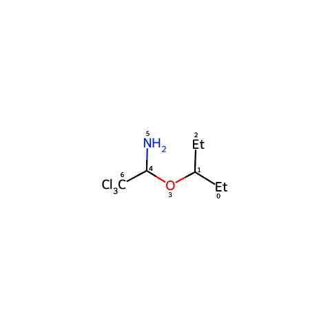 CCC(CC)OC(N)C(Cl)(Cl)Cl